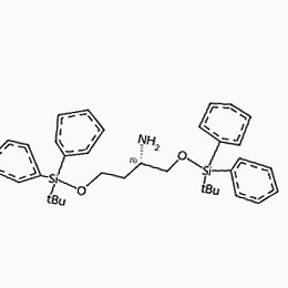 CC(C)(C)[Si](OCC[C@H](N)CO[Si](c1ccccc1)(c1ccccc1)C(C)(C)C)(c1ccccc1)c1ccccc1